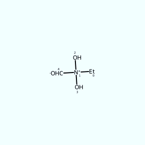 CC[N+](O)(O)[C]=O